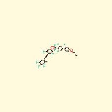 C=C1C(F)=C(F)C(F)=CC1C#Cc1c(F)cc(OC(F)(F)c2c(F)cc(-c3ccc(OCCCC)cc3F)cc2F)cc1F